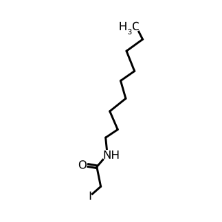 CCCCCCCCCNC(=O)CI